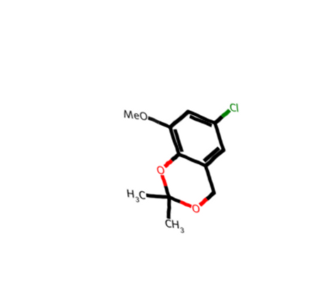 COc1cc(Cl)cc2c1OC(C)(C)OC2